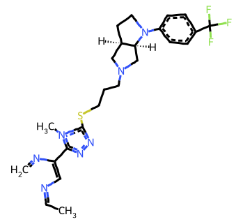 C=N/C(=C\N=C/C)c1nnc(SCCCN2C[C@H]3CCN(c4ccc(C(F)(F)F)cc4)[C@H]3C2)n1C